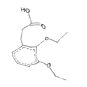 CCOc1cccc(CC(=O)O)c1OCC